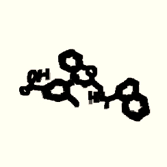 Cc1ccc(C(=O)O)cc1N1CC(CN[C@H](C)c2cccc3ccccc23)Oc2ccccc21